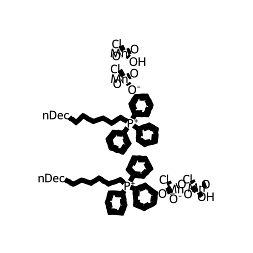 CCCCCCCCCCCCCCCC[P+](c1ccccc1)(c1ccccc1)c1ccccc1.CCCCCCCCCCCCCCCC[P+](c1ccccc1)(c1ccccc1)c1ccccc1.[O]=[Mn](=[O])([O-])[Cl].[O]=[Mn](=[O])([O-])[Cl].[O]=[Mn](=[O])([OH])[Cl].[O]=[Mn](=[O])([OH])[Cl]